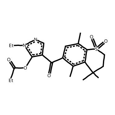 CCC(=O)Oc1c(C(=O)c2cc(C)c3c(c2C)C(C)(C)CCS3(=O)=O)cnn1CC